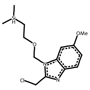 COc1ccc2nc(CCl)n(COCC[SiH](C)C)c2c1